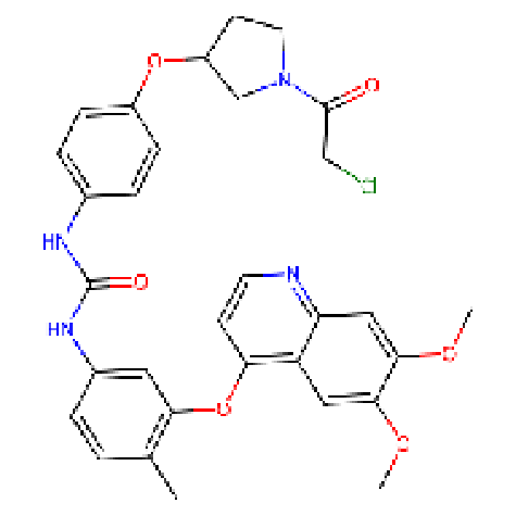 COc1cc2nccc(Oc3cc(NC(=O)Nc4ccc(OC5CCN(C(=O)CCl)C5)cc4)ccc3C)c2cc1OC